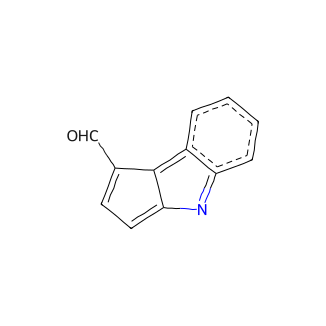 O=CC1=CC=C2N=c3ccccc3=C12